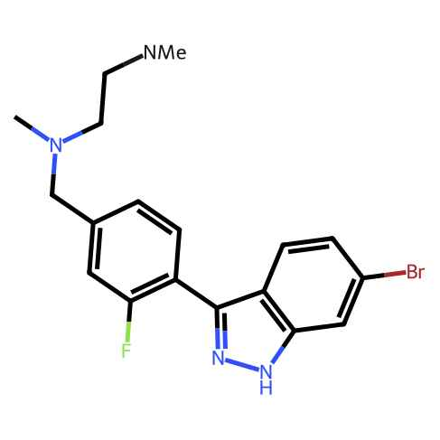 CNCCN(C)Cc1ccc(-c2n[nH]c3cc(Br)ccc23)c(F)c1